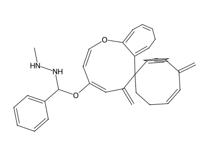 C=C1/C=C\CCC2(C(=C)/C=C(OC(NNC)c3ccccc3)\C=C/OC3=CC=CCC=C32)C2=C1C=CCC2